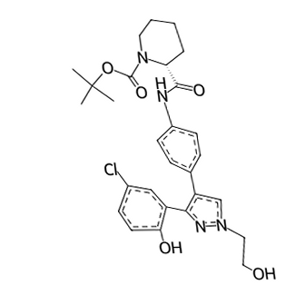 CC(C)(C)OC(=O)N1CCCC[C@@H]1C(=O)Nc1ccc(-c2cn(CCO)nc2-c2cc(Cl)ccc2O)cc1